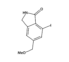 COCc1cc(I)c2c(c1)CNC2=O